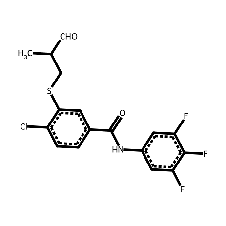 CC(C=O)CSc1cc(C(=O)Nc2cc(F)c(F)c(F)c2)ccc1Cl